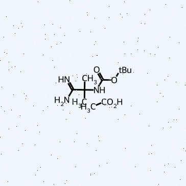 CC(=O)O.CC(C)(C)OC(=O)NC(C)(C)C(=N)N